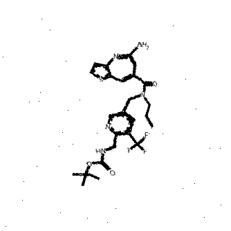 CCCN(Cc1cnc(CNC(=O)OC(C)(C)C)c(C(F)(F)F)c1)C(=O)C1=Cc2sccc2N=C(N)C1